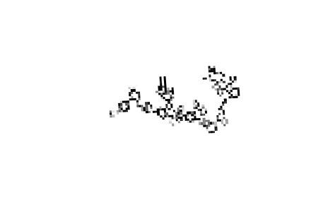 CC1(C)CCC(CN2CCN(c3ccc(C(=O)NS(=O)(=O)c4ccc(NCC5CCCN(C(=O)COCC#Cc6cccc7c6C(=O)N(C6CCC(=O)NC6=O)C7=O)C5)c([N+](=O)[O-])c4)c(Oc4cnc5[nH]ccc5c4)c3)CC2)=C(c2ccc(Cl)cc2)C1